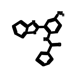 O=C(Nc1ccc(P)cc1-c1nc2ccccc2s1)c1ccccc1